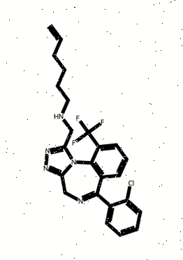 C=CCCCCNCc1nnc2n1-c1c(cccc1C(F)(F)F)C(c1ccccc1Cl)=NC2